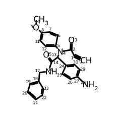 C#CC(=O)N(c1ccc(OC)cc1)C(C(=O)NCc1ccccc1)c1ccc(N)cc1